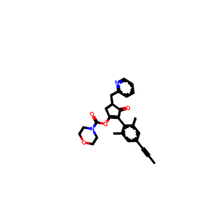 CC#Cc1cc(C)c(C2=C(OC(=O)N3CCOCC3)CC(Cc3ccccn3)C2=O)c(C)c1